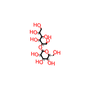 O=C[C@@H](O[C@H]1O[C@H](CO)[C@@H](O)[C@H](O)[C@@H]1O)[C@@H](O)[C@H](O)[C@H](O)CO